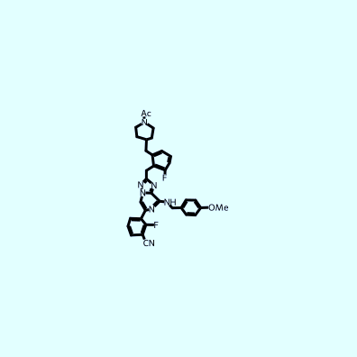 COc1ccc(CNc2nc(-c3cccc(C#N)c3F)cn3nc(Cc4c(F)cccc4CC4CCN(C(C)=O)CC4)nc23)cc1